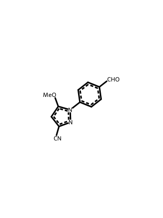 COc1cc(C#N)nn1-c1ccc(C=O)cc1